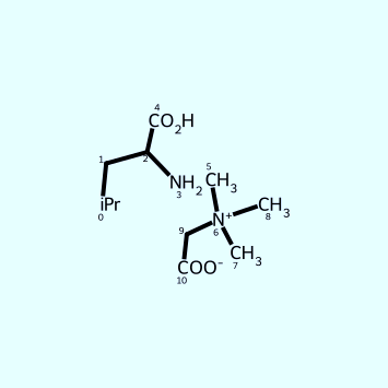 CC(C)CC(N)C(=O)O.C[N+](C)(C)CC(=O)[O-]